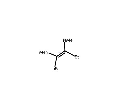 CC/C(NC)=C(/NC)C(C)C